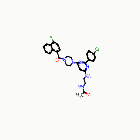 CC(=O)NCCNc1cc(N2CCN(C(=O)c3ccc(F)c4ccccc34)CC2)nc(-c2ccc(Cl)cc2)n1